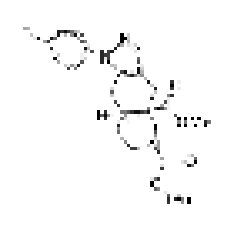 COC(=O)[C@]12Cc3cnn(-c4ccc(F)cc4)c3C[C@@H]1CCN(C(=O)OC(C)(C)C)C2